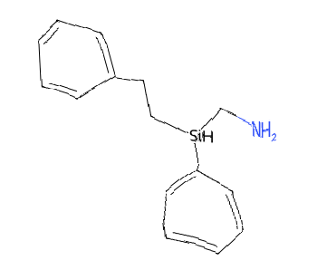 NC[SiH](CCc1ccccc1)c1ccccc1